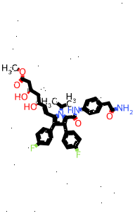 COC(=O)C[C@H](O)C[C@@H](O)C=Cc1c(-c2ccc(F)cc2)c(-c2ccc(F)cc2)c(C(=O)Nc2ccc(CC(N)=O)cc2)n1C(C)C